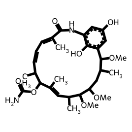 COC1CC(C)C(OC)c2cc(O)cc(c2O)NC(=O)/C(C)=C/C=C\C(C)C(OC(N)=O)/C(C)=C/C(C)C1OC